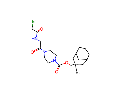 CCC1(COC(=O)N2CCN(C(=O)CNC(=O)CBr)CC2)CC2CCCC(C2)C1